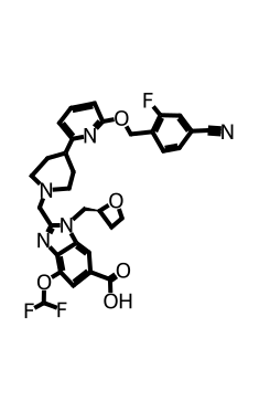 N#Cc1ccc(COc2cccc(C3CCN(Cc4nc5c(OC(F)F)cc(C(=O)O)cc5n4C[C@@H]4CCO4)CC3)n2)c(F)c1